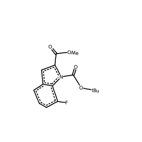 COC(=O)c1cc2cccc(F)c2n1C(=O)OC(C)(C)C